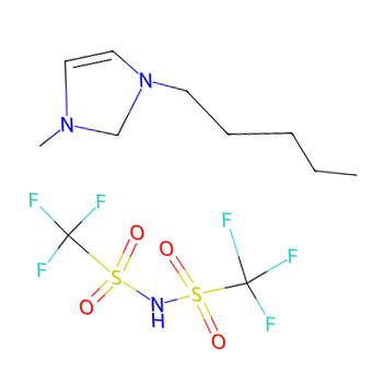 CCCCCN1C=CN(C)C1.O=S(=O)(NS(=O)(=O)C(F)(F)F)C(F)(F)F